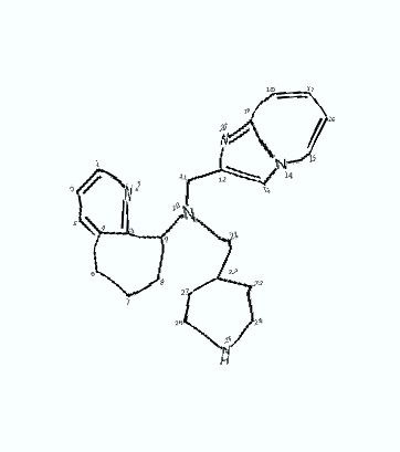 c1cnc2c(c1)CCCC2N(Cc1cn2ccccc2n1)CC1CCNCC1